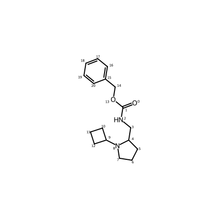 O=C(NCC1CCCN1C1CCC1)OCc1ccccc1